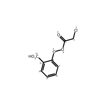 O=C(CCl)OOc1ccccc1C(=O)O